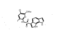 COc1nc(NS(=O)(=O)c2c[nH]c3c2ccc2cc[nH]c23)c(F)cc1Cl